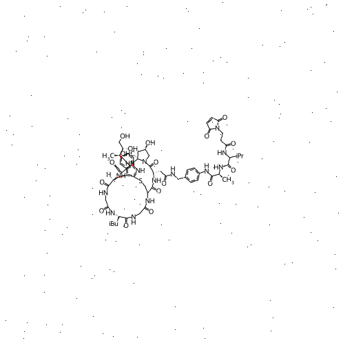 CC[C@H](C)[C@@H]1NC(=O)CNC(=O)[C@@H]2Cc3c([nH]c4ccccc34)SCC(NC(=O)CNC1=O)C(=O)N[C@@H](CC(=O)NCc1ccc(NC(=O)[C@H](C)NC(=O)C(NC(=O)CCN3C(=O)C=CC3=O)C(C)C)cc1)C(=O)N1C[C@H](O)C[C@]1(C=O)N[C@@H]([C@@H](C)[C@@H](O)CO)C(=O)N2